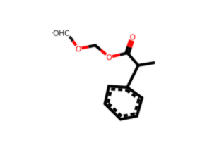 CC(C(=O)OCO[C]=O)c1ccccc1